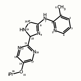 Cc1cccnc1NC1=NC(c2ncc(OC(C)C)cn2)NS1